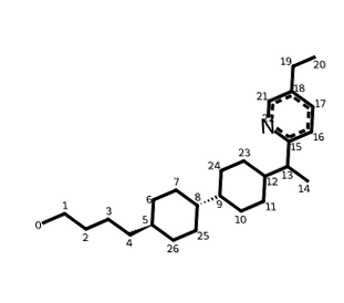 CCCCC[C@H]1CC[C@H](C2CCC(C(C)c3ccc(CC)cn3)CC2)CC1